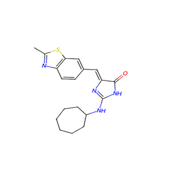 Cc1nc2ccc(/C=C3\N=C(NC4CCCCCC4)NC3=O)cc2s1